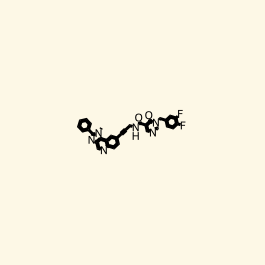 Cn1c(-c2ccccc2)nc2cnc3ccc(C#CCNC(=O)c4cncn(Cc5ccc(F)c(F)c5)c4=O)cc3c21